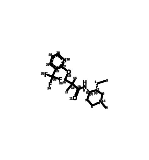 CC[C@@H]1CN(C)CC[C@@H]1NC(=O)C(C)(C)COc1ncccc1C(F)(F)F